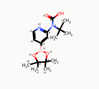 CC(C)(C)N(C(=O)O)c1cc(B2OC(C)(C)C(C)(C)O2)ccn1